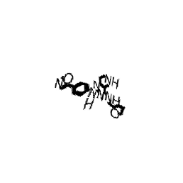 c1ncc(-c2ccc(Nc3nc4c(c(NCC5CCCO5)n3)CNCC4)cc2)o1